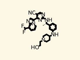 C[C@H](Nc1ncc(C#N)c(-c2cnc3c(C(F)F)cccn23)n1)c1cccc(NC2CCN(CCO)CC2)c1